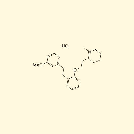 COc1cccc(CCc2ccccc2OCCC2CCCCN2C)c1.Cl